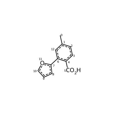 Cc1ccc(C(=O)O)c(-c2ccco2)c1